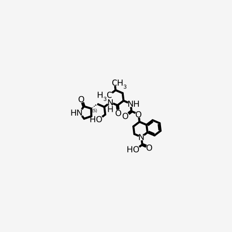 CC(C)CC(NC(=O)OC1CCN(C(=O)O)c2ccccc21)C(=O)NC(CO)C[C@@H]1CCNC1=O